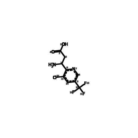 NC(CC(=O)O)c1ncc(C(F)(F)F)cc1Cl